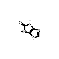 O=c1[nH]c2ncsc2[nH]1